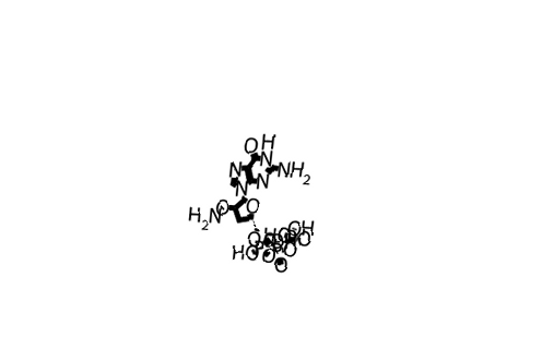 NOC1C[C@@H](COP(=O)(O)OP(=O)(O)OP(=O)(O)O)O[C@H]1n1cnc2c(=O)[nH]c(N)nc21